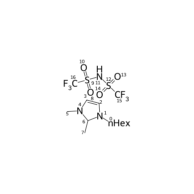 CCCCCCN1C=CN(C)C1C.O=S(=O)(NS(=O)(=O)C(F)(F)F)C(F)(F)F